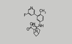 Cc1ccc(NC(=O)N2C3CCC(C(=O)O)C2C3)cc1-c1cncc(F)c1